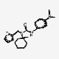 CN(C)c1ccc(NC(=O)N(Cc2ccco2)C2(C)CCCCC2)cc1